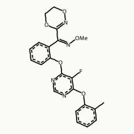 CO/N=C(\C1=NOCCO1)c1ccccc1Oc1ncnc(Oc2ccccc2C)c1F